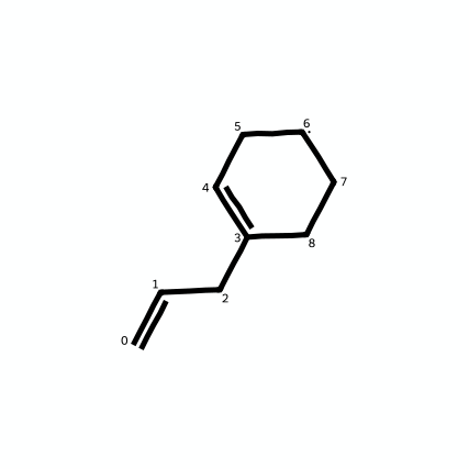 C=CCC1=CC[CH]CC1